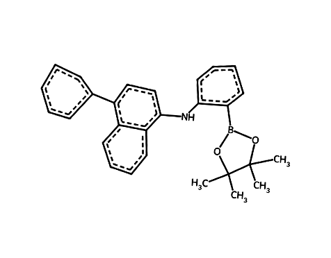 CC1(C)OB(c2ccccc2Nc2ccc(-c3ccccc3)c3ccccc23)OC1(C)C